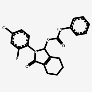 O=C(Nc1ccccc1)SC1C2=C(CCCC2)C(=O)N1c1ccc(Cl)cc1F